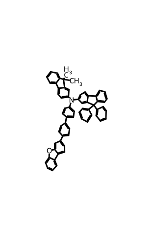 CC1(C)c2ccccc2-c2ccc(N(c3ccc(-c4ccc(-c5ccc6c(c5)oc5ccccc56)cc4)cc3)c3ccc4c(c3)C(c3ccccc3)(c3ccccc3)c3ccccc3-4)cc21